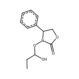 CCC(O)ON1C(=O)OCC1c1ccccc1